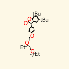 CCC(CCOC(C)(C)CC)OCCOc1ccc(C2C(=O)Oc3c2cc(C(C)(C)C)cc3C(C)(C)C)cc1